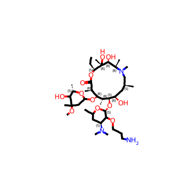 CC[C@@H]1OC(=O)[C@H](C)[C@H](OC2CC(C)(OC)C(O)[C@H](C)O2)[C@@H](C)[C@H](O[C@@H]2OC(C)C[C@H](N(C)C)C2OCCCN)[C@H](O)C[C@H](C)CN(C)[C@H](C)[C@@H](O)[C@@]1(C)O